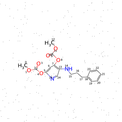 COC(=O)Oc1cc(OC(=O)OC)c(NCCCc2ccccc2)cn1